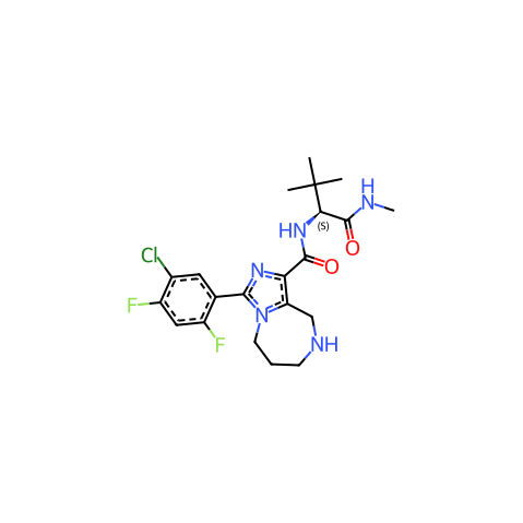 CNC(=O)[C@@H](NC(=O)c1nc(-c2cc(Cl)c(F)cc2F)n2c1CNCCC2)C(C)(C)C